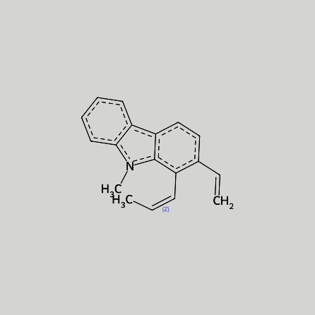 C=Cc1ccc2c3ccccc3n(C)c2c1/C=C\C